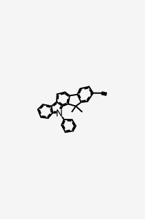 C#Cc1ccc2c(c1)C(C)(C)c1c-2ccc2c3ccccc3n(-c3ccccc3)c12